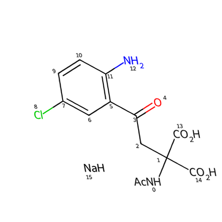 CC(=O)NC(CC(=O)c1cc(Cl)ccc1N)(C(=O)O)C(=O)O.[NaH]